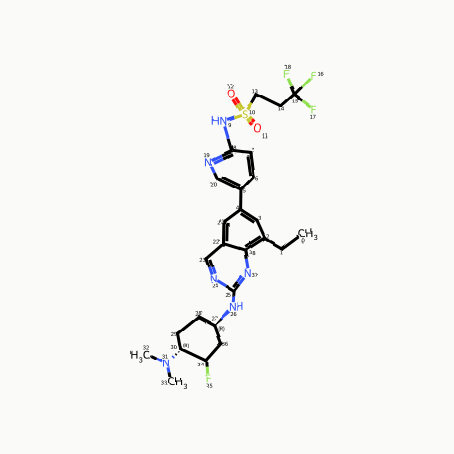 CCc1cc(-c2ccc(NS(=O)(=O)CCC(F)(F)F)nc2)cc2cnc(N[C@@H]3CC[C@@H](N(C)C)C(F)C3)nc12